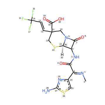 CN=C(C(=O)NC1C(=O)N2CC(C=CC(F)(F)F)(C(=O)O)CS[C@H]12)c1csc(N)n1